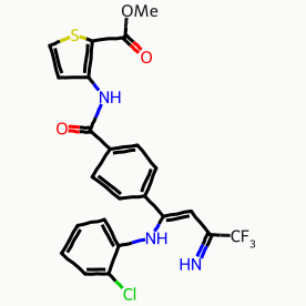 COC(=O)c1sccc1NC(=O)c1ccc(/C(=C/C(=N)C(F)(F)F)Nc2ccccc2Cl)cc1